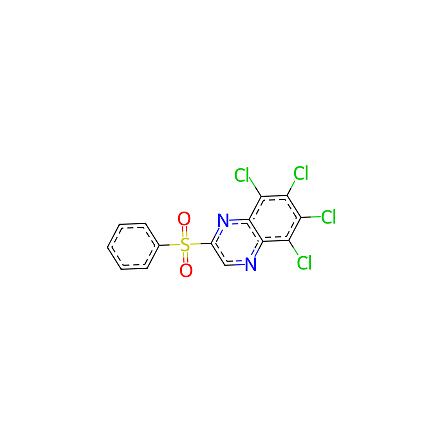 O=S(=O)(c1ccccc1)c1cnc2c(Cl)c(Cl)c(Cl)c(Cl)c2n1